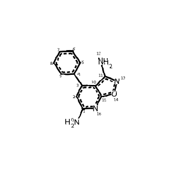 Nc1cc(-c2ccccc2)c2c(N)noc2n1